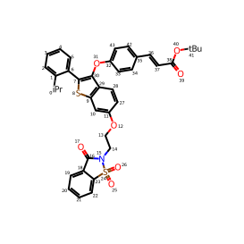 CC(C)c1ccccc1-c1sc2cc(OCCN3C(=O)c4ccccc4S3(=O)=O)ccc2c1Oc1ccc(C=CC(=O)OC(C)(C)C)cc1